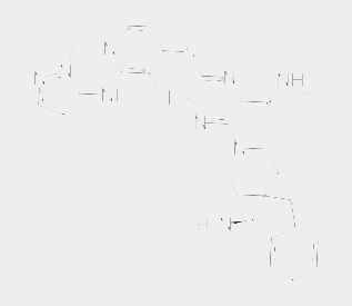 Cn1nccc1Nc1nccc(Sc2cnc(N3CCC4(CC3)Cc3ccccc3[C@H]4N)c(C(N)=O)n2)c1Cl